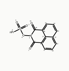 CCCS(=O)(=O)ON1C(=O)c2cccc3cccc(c23)C1=O